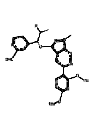 Cn1nc(O[C@H](c2ccnc(C=O)c2)C(F)F)c2cc(-c3cnc(OC(C)(C)C)nc3OC(C)(C)C)nnc21